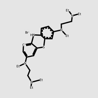 CCN(CC)CCN(CC)C1=C[C+]=C2Nc3ccc(N(CC)CCN(CC)CC)cc3SC2=C1.[Br-]